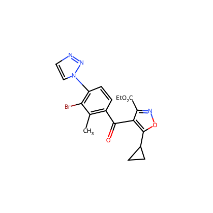 CCOC(=O)c1noc(C2CC2)c1C(=O)c1ccc(-n2ccnn2)c(Br)c1C